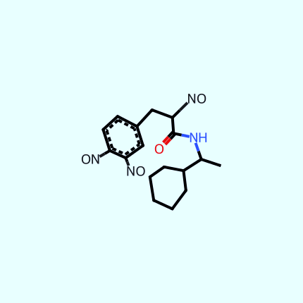 CC(NC(=O)C(Cc1ccc(N=O)c(N=O)c1)N=O)C1CCCCC1